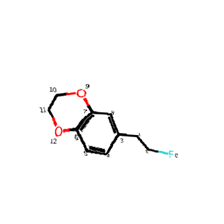 FCCc1ccc2c(c1)OCCO2